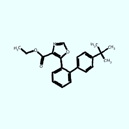 CCOC(=O)c1ncoc1-c1ccccc1-c1ccc(C(C)(C)C)cc1